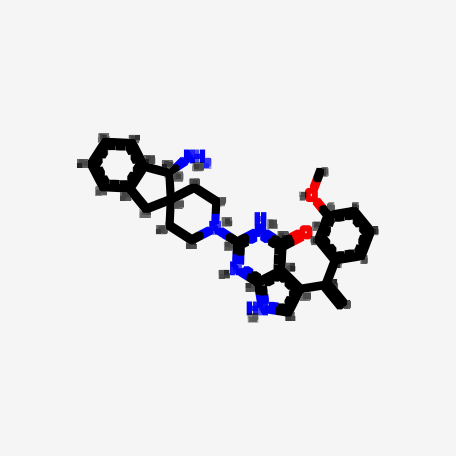 C=C(c1cccc(OC)c1)c1c[nH]c2nc(N3CCC4(CC3)Cc3ccccc3[C@H]4N)[nH]c(=O)c12